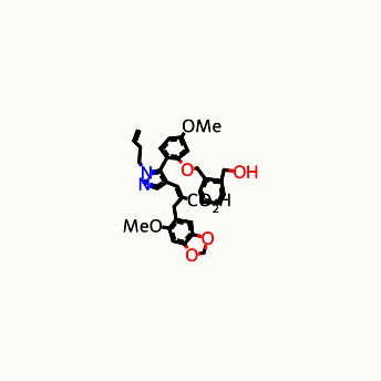 C=CCCn1ncc(/C=C(\Cc2cc3c(cc2OC)OCO3)C(=O)O)c1-c1ccc(OC)cc1OCc1ccccc1CO